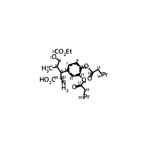 CCOC(=O)OCC(C)C(c1ccc(OC(=O)CC(C)C)c(OC(=O)CC(C)C)c1)[C@H](N)C(=O)O